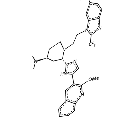 COc1ccc2nc(C(F)(F)F)n(CCN3CC[C@H](N(C)C)C[C@H]3c3ncc(-c4cc5ccccc5nc4OC)[nH]3)c2c1